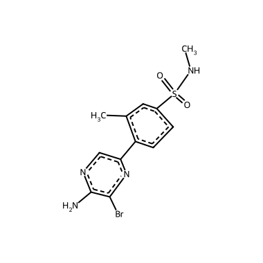 CNS(=O)(=O)c1ccc(-c2cnc(N)c(Br)n2)c(C)c1